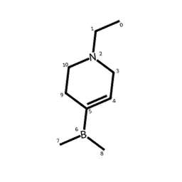 CCN1CC=C(B(C)C)CC1